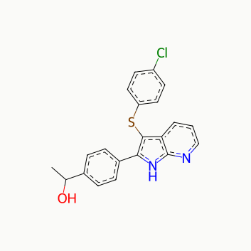 CC(O)c1ccc(-c2[nH]c3ncccc3c2Sc2ccc(Cl)cc2)cc1